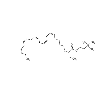 CC/C=C\C/C=C\C/C=C\C/C=C\C/C=C\CCCCOC(CC)C(=O)OCC[N+](C)(C)C